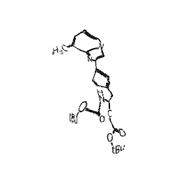 Cc1cccn2cc(-c3ccc(C[C@@H](CCC(=O)OC(C)(C)C)NC(=O)OC(C)(C)C)cc3)nc12